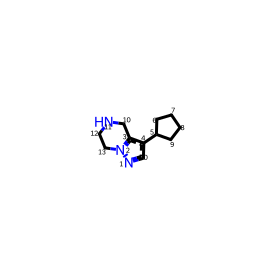 c1nn2c(c1C1CCCC1)CNCC2